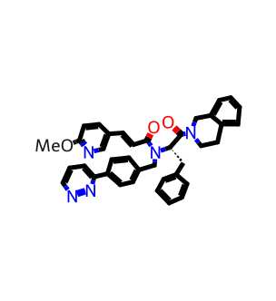 COc1ccc(C=CC(=O)N(Cc2ccc(-c3cccnn3)cc2)[C@@H](Cc2ccccc2)C(=O)N2CCc3ccccc3C2)cn1